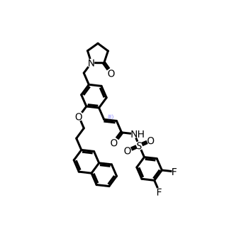 O=C(/C=C/c1ccc(CN2CCCC2=O)cc1OCCc1ccc2ccccc2c1)NS(=O)(=O)c1ccc(F)c(F)c1